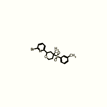 Cc1cccc(S(=O)(=O)C2(C)CCOC(c3cccc(Br)n3)C2)c1